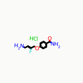 Cl.NCC=C(F)COc1ccc(C(N)=O)cc1